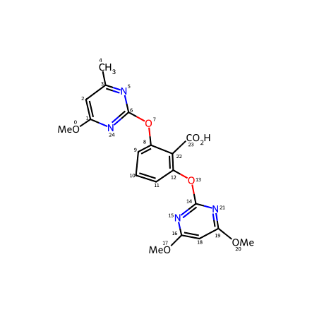 COc1cc(C)nc(Oc2cccc(Oc3nc(OC)cc(OC)n3)c2C(=O)O)n1